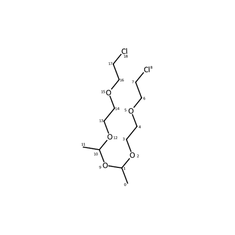 CC(OCCOCCCl)OC(C)OCCOCCCl